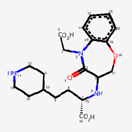 O=C(O)CN1C(=O)C(N[C@@H](CCC2CCNCC2)C(=O)O)COc2ccccc21